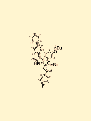 CCCCOc1ccc([C@@H]2[C@H](/C=C/C(=O)c3ccc(F)cc3)NC(=O)N2c2ccc(-c3ccccc3)cc2)c(OCCCC)c1